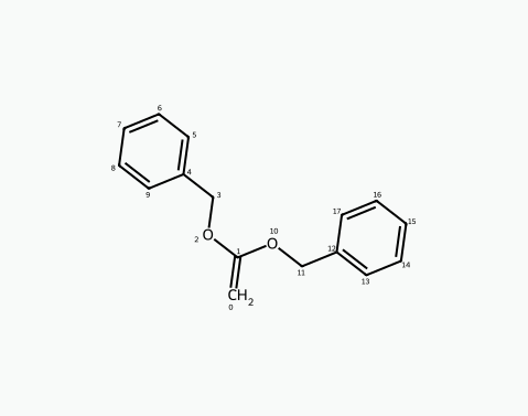 C=C(OCc1ccccc1)OCc1ccccc1